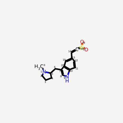 CN1CCCC1Cc1c[nH]c2ccc(C=C=S(=O)=O)cc12